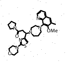 COc1c(C)cc2cccnc2c1N1CCCN(C(CC(=O)N2CCCC2)c2csc(N3CCOCC3)n2)CC1